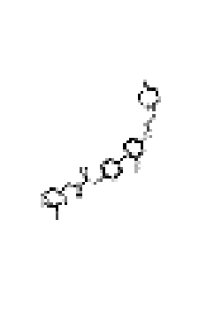 CN1CCN(CCOc2ccc(-c3ccc(CC(=O)NCc4ccnc(F)n4)cc3)c(F)c2)CC1